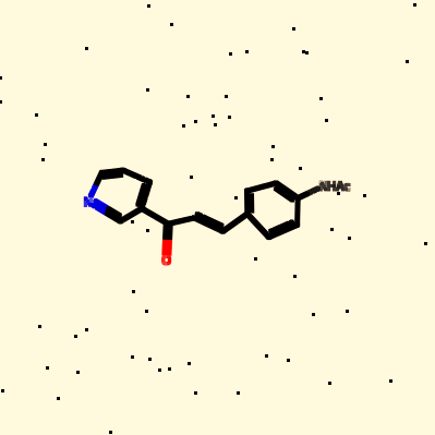 CC(=O)Nc1ccc(/C=C/C(=O)c2cccnc2)cc1